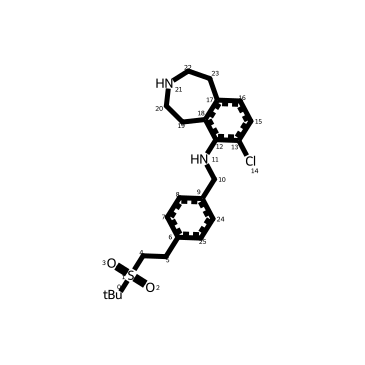 CC(C)(C)S(=O)(=O)CCc1ccc(CNc2c(Cl)ccc3c2CCNCC3)cc1